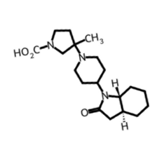 CC1(N2CCC(N3C(=O)C[C@@H]4CCCC[C@H]43)CC2)CCN(C(=O)O)C1